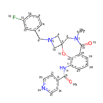 CC(C)N1CC2(CN(Cc3cccc(F)c3)C2)Oc2c(NC(=O)c3ccncc3)cccc2C1=O